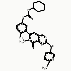 Cc1ccc(Nc2ncc3cc(-c4cc(NC(=O)NC5CCCCC5)ccc4C)n(C)c(=O)c3n2)cn1